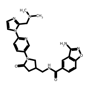 CN(C)Cc1nccn1-c1ccc(N2CC(CNC(=O)c3ccc4onc(N)c4c3)CC2=O)cn1